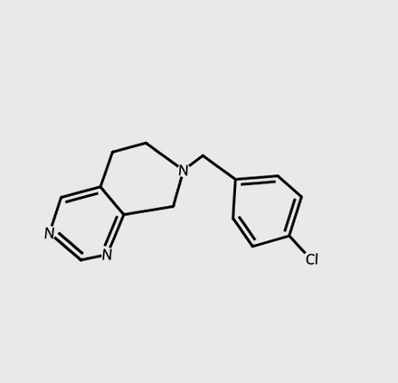 Clc1ccc(CN2CCc3cncnc3C2)cc1